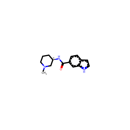 CN1CCC[C@@H](NC(=O)c2ccc3cc[nH]c3c2)C1